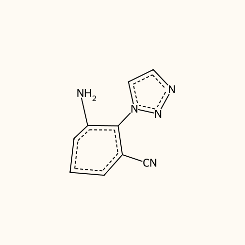 N#Cc1cccc(N)c1-n1ccnn1